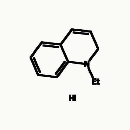 CCN1CC=Cc2ccccc21.I